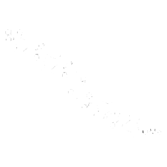 COc1ccc(C(=O)Oc2ccc(C(=O)OC3COC4C(OC(=O)c5ccc(OC(=O)c6ccc(OC=O)cc6)cc5)COC34)cc2)cc1